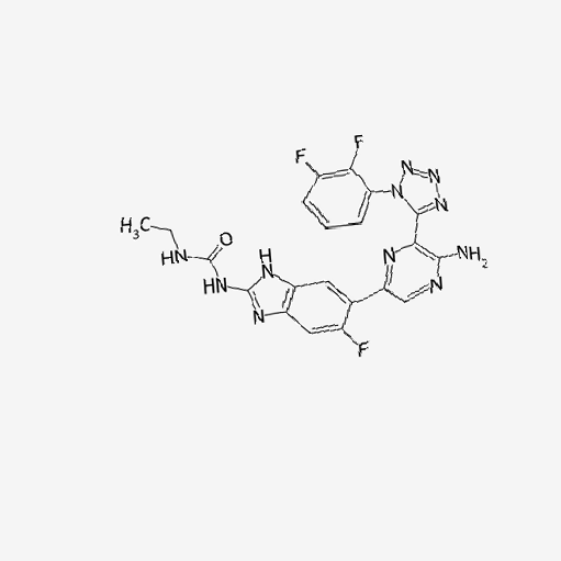 CCNC(=O)Nc1nc2cc(F)c(-c3cnc(N)c(-c4nnnn4-c4cccc(F)c4F)n3)cc2[nH]1